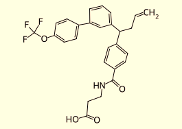 C=CCC(c1ccc(C(=O)NCCC(=O)O)cc1)c1cccc(-c2ccc(OC(F)(F)F)cc2)c1